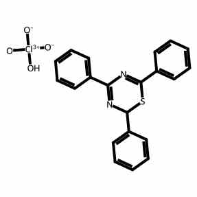 [O-][Cl+3]([O-])([O-])O.c1ccc(C2=NC(c3ccccc3)SC(c3ccccc3)=N2)cc1